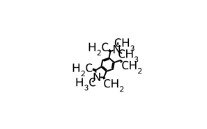 C=Cc1cc2c(=C)n(C)c(=C)c2cc1C(=C)N(C)C